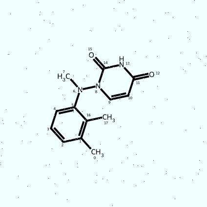 Cc1cccc(N(C)n2ccc(=O)[nH]c2=O)c1C